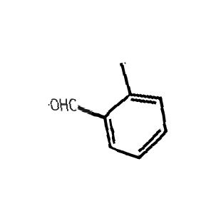 [CH2]c1ccccc1[C]=O